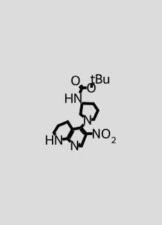 CC(C)(C)OC(=O)NC1CCCN(c2c([N+](=O)[O-])cnc3c2CCCN3)C1